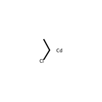 CCCl.[Cd]